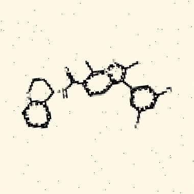 Cc1nn2c(C)c(C(=O)N[C@H]3CCOc4ccccc43)ccc2c1-c1cc(Cl)cc(Cl)c1